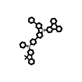 CC1(C)c2ccccc2-c2ccc(N(c3ccccc3)c3ccc(-c4ccc5c(c4)c4cc(-c6ccccc6)ccc4n5-c4ccc5c6ccccc6c6ccccc6c5c4)cc3)cc21